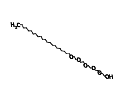 CCCCCCCCCCCCCCCCCCCCCCOCCOCCOCCOCCOCCO